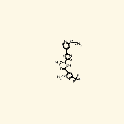 COc1cc(-c2nsc([C@@H](C)NC(=O)c3cc(C(F)(F)F)nn3C)n2)ccn1